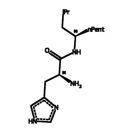 CCCCC[C@H](CC(C)C)NC(=O)[C@@H](N)Cc1c[nH]cn1